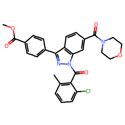 COC(=O)c1ccc(-c2nn(C(=O)c3c(C)cccc3Cl)c3cc(C(=O)N4CCOCC4)ccc23)cc1